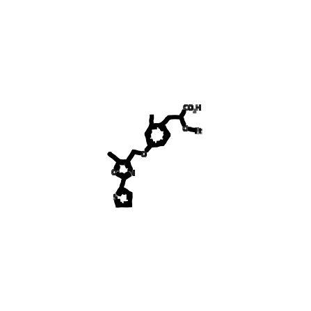 CCOC(Cc1ccc(OCc2nc(-c3cccs3)oc2C)cc1C)C(=O)O